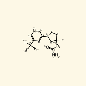 C[C@@]1(OC(N)=O)CCN(c2cncc(C(F)(F)F)c2)C1